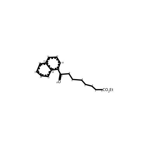 CCOC(=O)CCCCCCC(=O)c1cccc2ccccc12